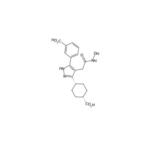 O=C(Cc1c(-c2cccc(C(=O)O)c2)[nH]nc1[C@H]1CC[C@@H](C(=O)O)CC1)NO